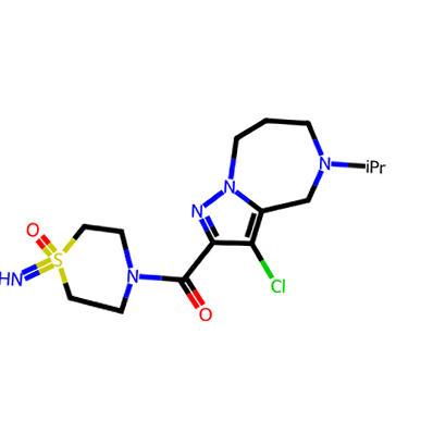 CC(C)N1CCCn2nc(C(=O)N3CCS(=N)(=O)CC3)c(Cl)c2C1